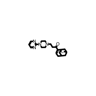 O=C(CCN1CCN(c2ncccn2)CC1)N1CC2CC3CC(C2)CC1C3